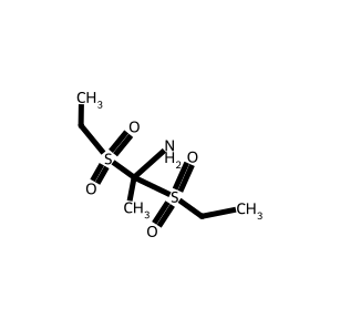 CCS(=O)(=O)C(C)(N)S(=O)(=O)CC